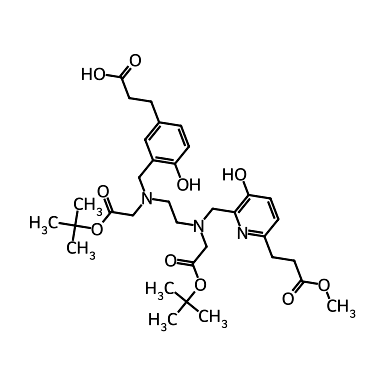 COC(=O)CCc1ccc(O)c(CN(CCN(CC(=O)OC(C)(C)C)Cc2cc(CCC(=O)O)ccc2O)CC(=O)OC(C)(C)C)n1